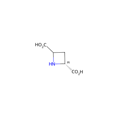 O=C(O)C1C[C@H](C(=O)O)N1